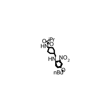 CCCCOc1ccc(NCC2CCC(NS(=O)(=O)C(C)C)CC2)c([N+](=O)[O-])c1